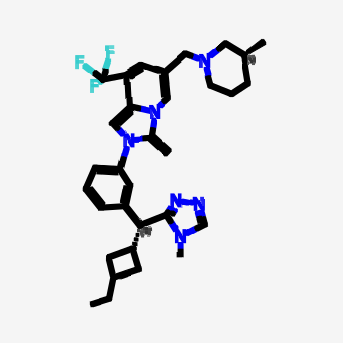 C=C1N2C=C(CN3CCC[C@H](C)C3)C=C(C(F)(F)F)C2=CN1c1cccc([C@H](c2nncn2C)C2CC(CC)C2)c1